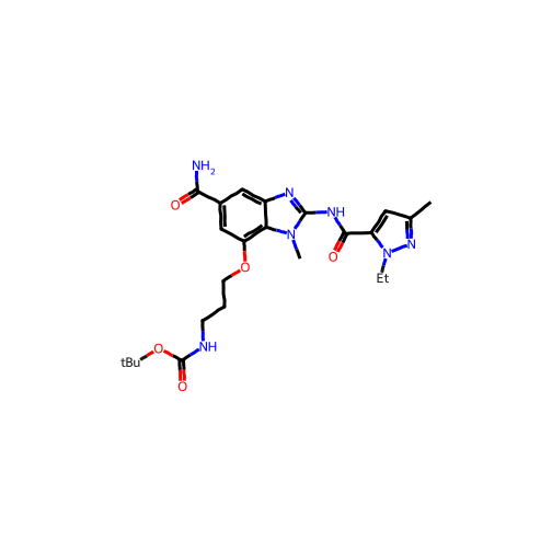 CCn1nc(C)cc1C(=O)Nc1nc2cc(C(N)=O)cc(OCCCNC(=O)OC(C)(C)C)c2n1C